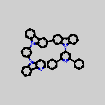 c1ccc(-c2cc(-n3c4ccccc4c4ccc(-c5ccc6c(c5)c5ccccc5n6-c5cccc(-n6c7ccccc7c7ncccc76)c5)cc43)cc(-c3ccccc3)n2)cc1